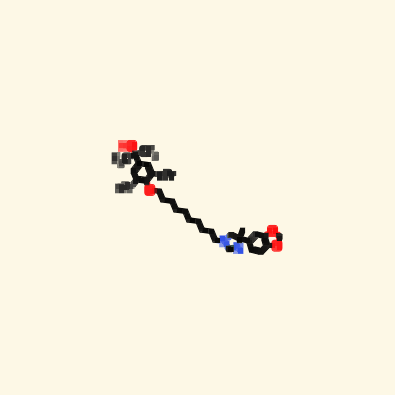 CCCc1cc(C(O)(C(F)(F)F)C(F)(F)F)cc(CCC)c1OCCCCCCCCCCN1C=NC(C)(c2ccc3c(c2)OCO3)C1